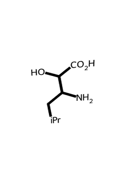 CC(C)CC(N)C(O)C(=O)O